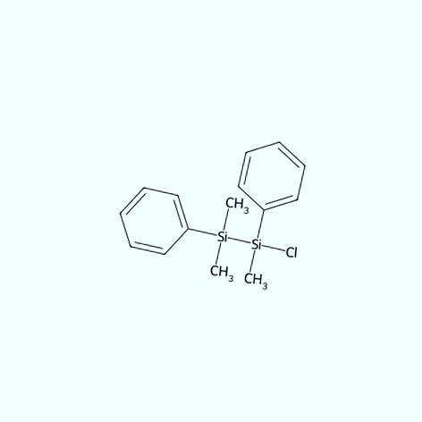 C[Si](C)(c1ccccc1)[Si](C)(Cl)c1ccccc1